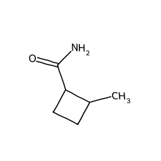 CC1CCC1C(N)=O